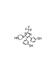 FC(F)(F)c1nc(-c2cccc(S)c2)c(-c2cccc(S)c2)c(N2CCNCC2)n1